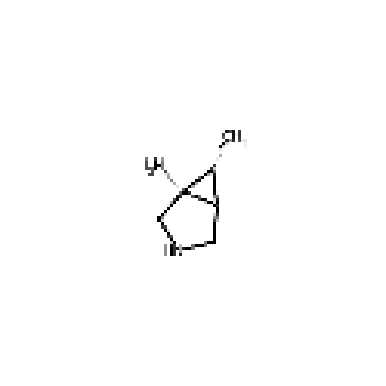 C[C@@H]1C2CNC[C@]21N